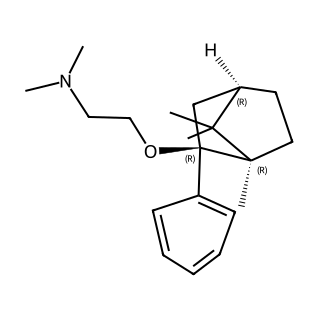 CN(C)CCO[C@@]1(c2ccccc2)C[C@H]2CC[C@]1(C)C2(C)C